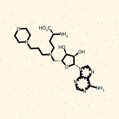 Nc1ncnc2c1ncn2[C@@H]1O[C@H](CN(CCCN2CCOCC2)CC[C@H](N)C(=O)O)[C@@H](O)[C@H]1O